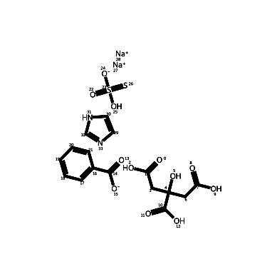 O=C(O)CC(O)(CC(=O)O)C(=O)O.O=C([O-])c1ccccc1.O=S([O-])(O)=S.[Na+].[Na+].c1c[nH]cn1